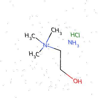 C[N+](C)(C)CCO.Cl.N